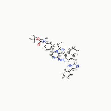 CC(C)c1nc(-c2ccc(Cc3ncc(-c4ccccc4)[nH]3)c3ccccc23)c2c(N)ncc(C3=CCC(N(C)C(=O)OC(C)(C)C)CC3)n12